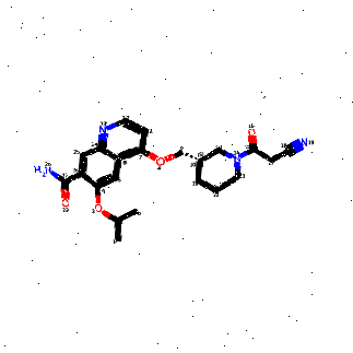 CC(C)Oc1cc2c(OC[C@H]3CCCN(C(=O)CC#N)C3)ccnc2cc1C(N)=O